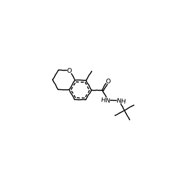 Cc1c(C(=O)NNC(C)(C)C)ccc2c1OCCC2